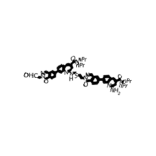 CCCN(CCC)C(=O)C1=Cc2ccc(-c3ccc4c(=O)n(CCSCNC5=Nc6cc(-c7ccc8c(=O)n(CC=O)ncc8c7)ccc6C=C(C(=O)N(CCC)CCC)C5)ncc4c3)cc2N=C(N)C1